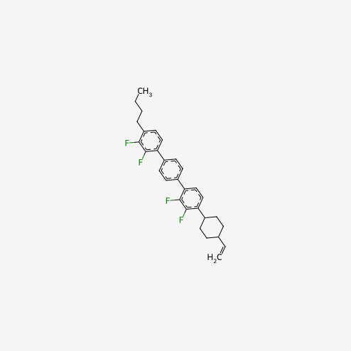 C=CC1CCC(c2ccc(-c3ccc(-c4ccc(CCCC)c(F)c4F)cc3)c(F)c2F)CC1